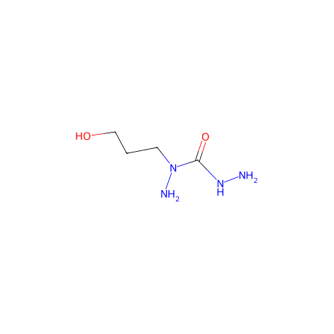 NNC(=O)N(N)CCCO